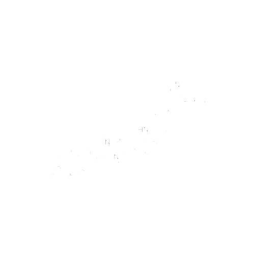 C/N=C(\C=C(C)C)COCC(=O)NC1(C)CC(C)(c2nc(COc3ccc(C)cc3)no2)C1